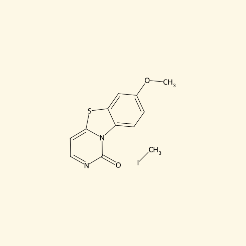 CI.COc1ccc2c(c1)sc1ccnc(=O)n12